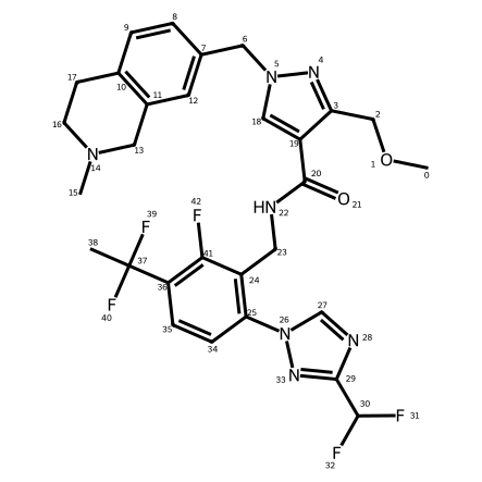 COCc1nn(Cc2ccc3c(c2)CN(C)CC3)cc1C(=O)NCc1c(-n2cnc(C(F)F)n2)ccc(C(C)(F)F)c1F